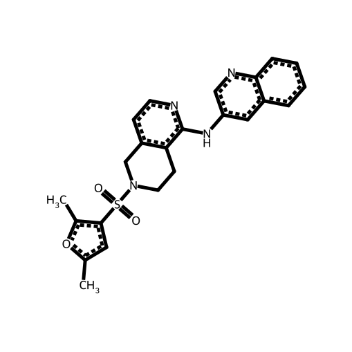 Cc1cc(S(=O)(=O)N2CCc3c(ccnc3Nc3cnc4ccccc4c3)C2)c(C)o1